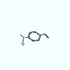 C=Cc1ccc([S+](C)[O-])cc1